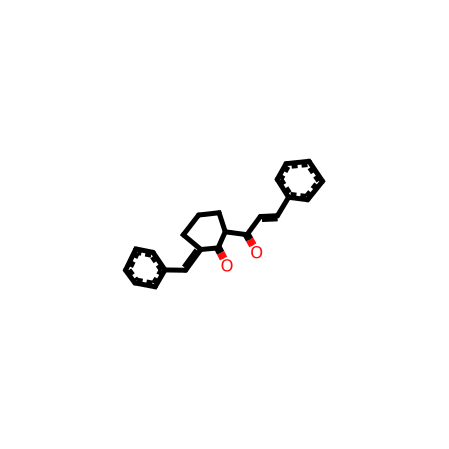 O=C(/C=C/c1ccccc1)C1CCC/C(=C\c2ccccc2)C1=O